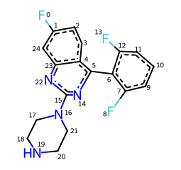 Fc1ccc2c(-c3c(F)cccc3F)nc(N3CCNCC3)nc2c1